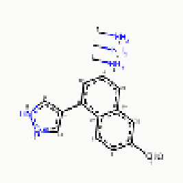 CN.CN.CN.O=Cc1ccc2c(-c3cn[nH]c3)cccc2c1